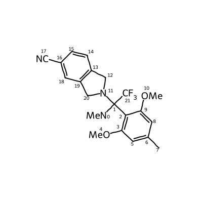 CNC(c1c(OC)cc(C)cc1OC)(N1Cc2ccc(C#N)cc2C1)C(F)(F)F